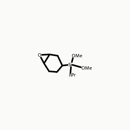 CCC[Si](OC)(OC)C1CCC2OC2C1